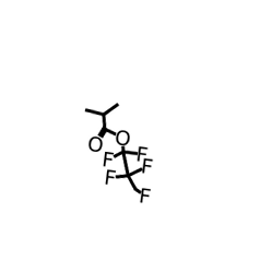 CC(C)C(=O)OC(F)(F)C(F)(F)CF